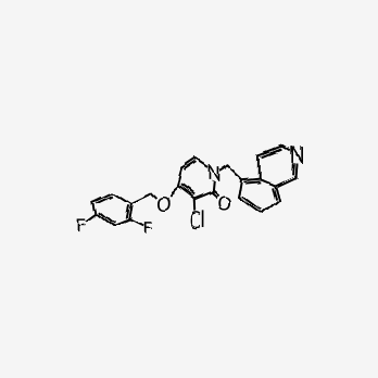 O=c1c(Cl)c(OCc2ccc(F)cc2F)ccn1Cc1cccc2cnccc12